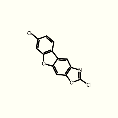 Clc1ccc2c(c1)oc1cc3oc(Cl)nc3cc12